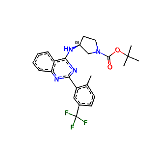 Cc1ccc(C(F)(F)F)cc1-c1nc(N[C@H]2CCN(C(=O)OC(C)(C)C)C2)c2ccccc2n1